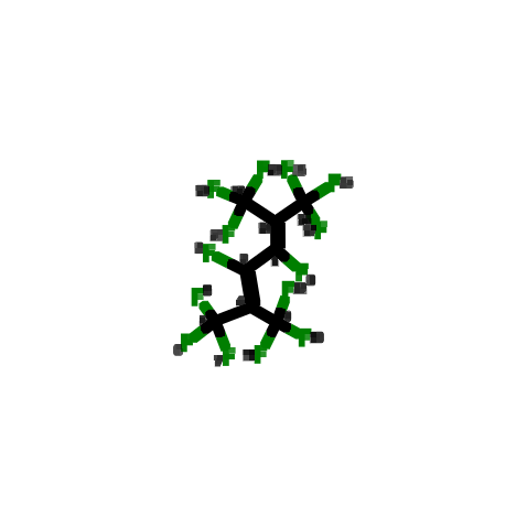 FC(C(F)=C(C(F)(F)F)C(F)(F)F)=C(C(F)(F)F)C(F)(F)F